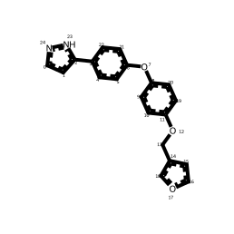 c1cc(-c2ccc(Oc3ccc(OCc4ccoc4)cc3)cc2)[nH]n1